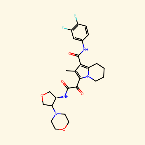 Cc1c(C(=O)Nc2ccc(F)c(F)c2)c2n(c1C(=O)C(=O)N[C@@H]1COCC1N1CCOCC1)CCCC2